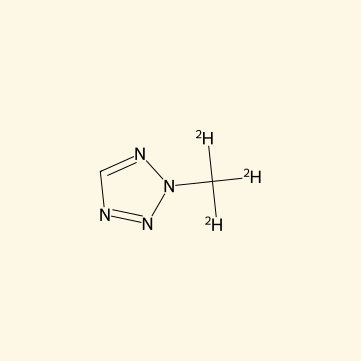 [2H]C([2H])([2H])n1ncnn1